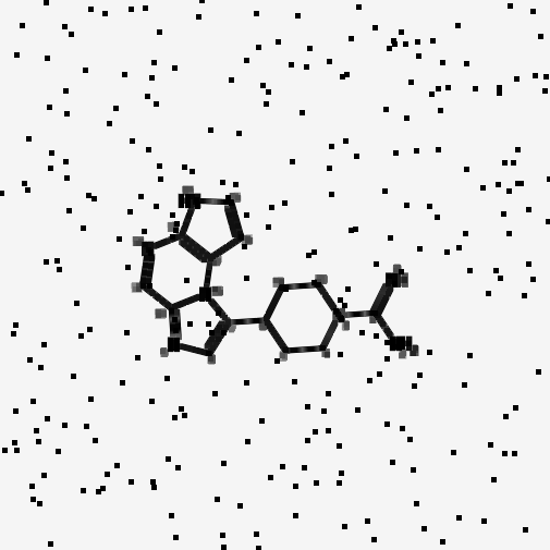 N=C(N)N1CCC(c2cnc3cnc4[nH]ccc4n23)CC1